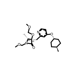 [CH2][C@H]1N(COC)C(=O)[C@]1(Cc1cc(O[C@H]2CC[C@H](C)CC2)ccn1)OCOC